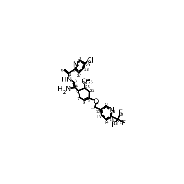 C=C(N/C=C(\N)C1CC=C(OCc2ccc(C(F)(F)F)nc2)CC1OC)c1ccc(Cl)cn1